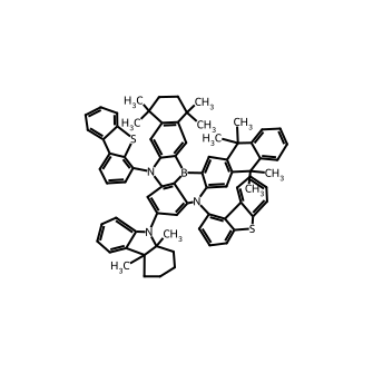 CC1(C)CCC(C)(C)c2cc3c(cc21)B1c2cc4c(cc2N(c2cccc5sc6ccccc6c25)c2cc(N5c6ccccc6C6(C)CCCCC56C)cc(c21)N3c1cccc2c1sc1ccccc12)C(C)(C)c1ccccc1C4(C)C